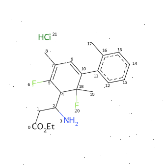 CCOC(=O)CC(N)C1C(F)=C(C)C=C(c2ccccc2C)C1(C)F.Cl